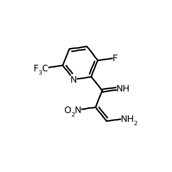 N=C(/C(=C\N)[N+](=O)[O-])c1nc(C(F)(F)F)ccc1F